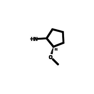 CO[C@H]1CCCC1[NH]